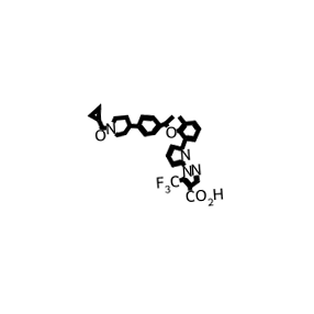 Cc1cccc(-c2cccc(-n3ncc(C(=O)O)c3C(F)(F)F)n2)c1OC(C)c1ccc(C2CCN(C(=O)C3CC3)CC2)cc1